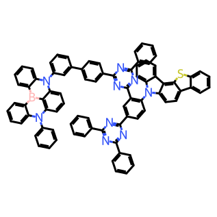 c1ccc(-c2nc(-c3ccccc3)nc(-c3ccc(-n4c5ccccc5c5c6sc7ccccc7c6ccc54)c(-c4nc(-c5ccccc5)nc(-c5ccc(-c6cccc(N7c8ccccc8B8c9ccccc9N(c9ccccc9)c9cccc7c98)c6)cc5)n4)c3)n2)cc1